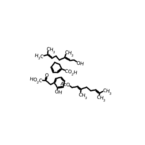 CC(=O)OC/C=C(\C)CCC=C(C)C.CC(C)=CCC/C(C)=C/CO.O=C(O)C(=O)Cc1ccccc1O.O=C(O)C1=CC=CCC1